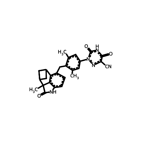 Cc1cc(-n2nc(C#N)c(=O)[nH]c2=O)cc(C)c1Cc1ccc2c3c1C1CC(C1)C3(C)C(=O)N2